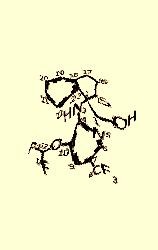 OC[C@]1(Nc2ncc(C(F)(F)F)cc2OC(F)F)CCCc2ccccc21